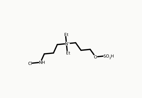 CC[N+](CC)(CCCNCl)CCCOS(=O)(=O)O